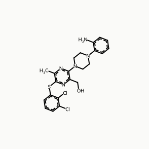 Cc1nc(N2CCN(c3ccccc3N)CC2)c(CO)nc1Sc1cccc(Cl)c1Cl